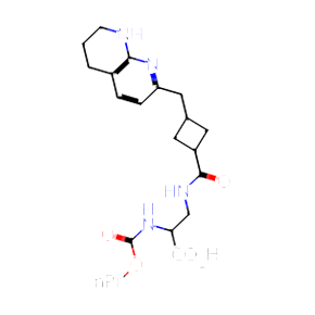 CCCOC(=O)NC(CNC(=O)C1CC(Cc2ccc3c(n2)NCCC3)C1)C(=O)O